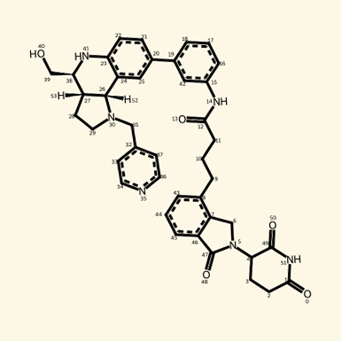 O=C1CCC(N2Cc3c(CCCC(=O)Nc4cccc(-c5ccc6c(c5)[C@H]5[C@H](CCN5Cc5ccncc5)[C@@H](CO)N6)c4)cccc3C2=O)C(=O)N1